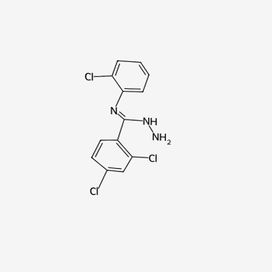 NN/C(=N\c1ccccc1Cl)c1ccc(Cl)cc1Cl